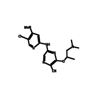 CNc1cc(Nc2cnc(C#N)c(OC(C)CN(C)C)n2)ncc1Cl